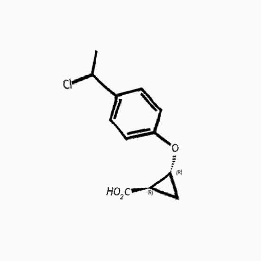 CC(Cl)c1ccc(O[C@@H]2C[C@H]2C(=O)O)cc1